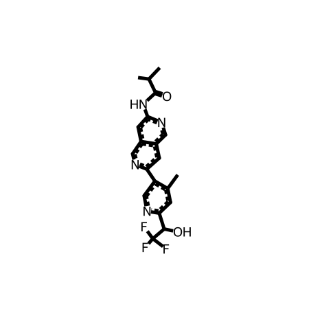 Cc1cc(C(O)C(F)(F)F)ncc1-c1cc2cnc(NC(=O)C(C)C)cc2cn1